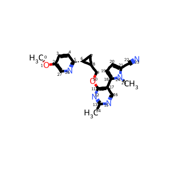 COc1ccc([C@@H]2CC2COc2nc(C)ncc2-c2ccc(C#N)n2C)nc1